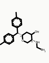 BCN[C@@H]1CO[C@H](C(c2ccc(C)cc2)c2ccc(C)cc2)CC1O